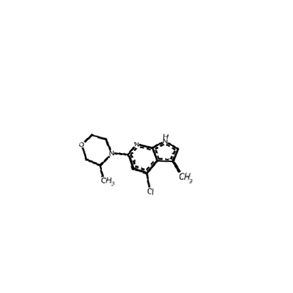 Cc1c[nH]c2nc(N3CCOCC3C)cc(Cl)c12